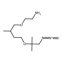 CC(CCOC(C)(C)CN=[N+]=[N-])COCCN